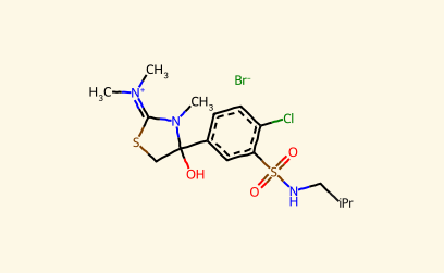 CC(C)CNS(=O)(=O)c1cc(C2(O)CSC(=[N+](C)C)N2C)ccc1Cl.[Br-]